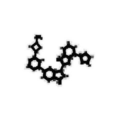 NC1CN(c2cncc(-c3ccc4[nH]nc(-c5cc6c(-c7ccoc7)cncc6[nH]5)c4c3)n2)C1